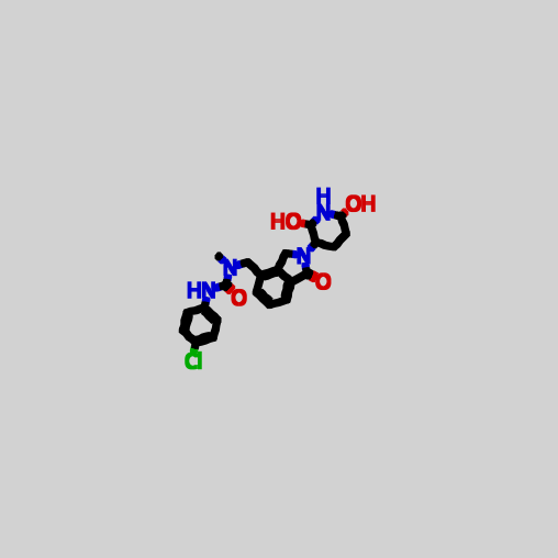 CN(Cc1cccc2c1CN(C1CCC(O)NC1O)C2=O)C(=O)Nc1ccc(Cl)cc1